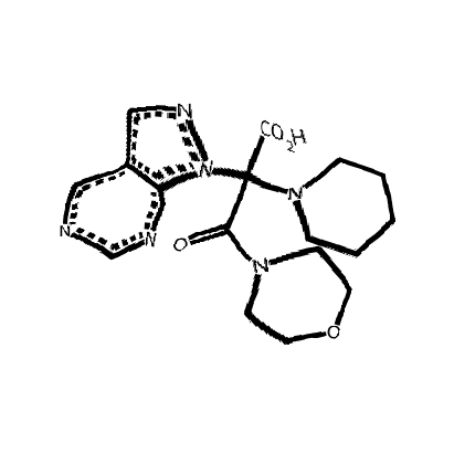 O=C(O)C(C(=O)N1CCOCC1)(N1CCCCC1)n1ncc2cncnc21